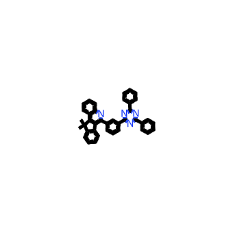 CC1(C)c2ccccc2-c2c(-c3cccc(-c4nc(-c5ccccc5)nc(-c5ccccc5)n4)c3)nc3ccccc3c21